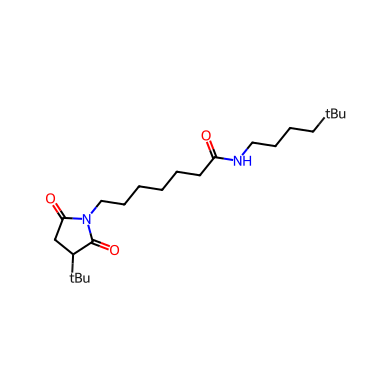 CC(C)(C)CCCCNC(=O)CCCCCCN1C(=O)CC(C(C)(C)C)C1=O